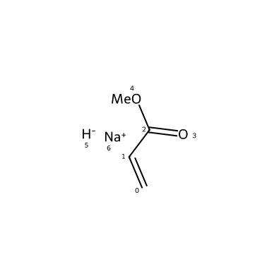 C=CC(=O)OC.[H-].[Na+]